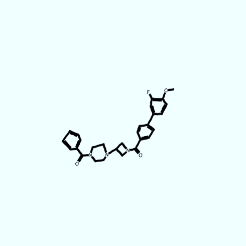 COc1ccc(-c2ccc(C(=O)N3CC(N4CCN(C(=O)c5ccccc5)CC4)C3)cc2)cc1F